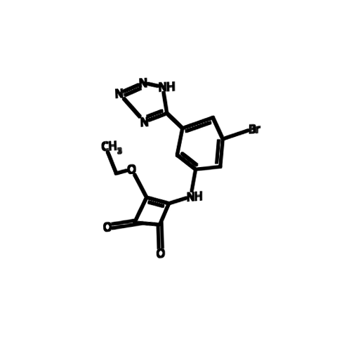 CCOc1c(Nc2cc(Br)cc(-c3nnn[nH]3)c2)c(=O)c1=O